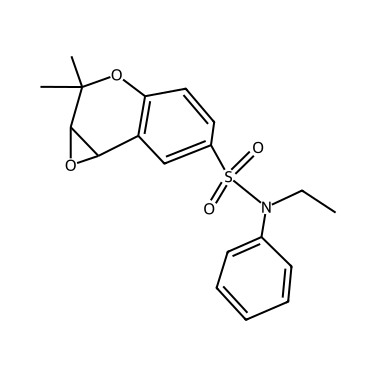 CCN(c1ccccc1)S(=O)(=O)c1ccc2c(c1)C1OC1C(C)(C)O2